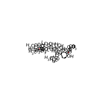 CCN[C@H]1CO[C@@H](O[C@H]2[C@H](O[C@H]3C#C/C=C/C#C[C@]4(O)CC(=O)C(NC(=O)OC)=C3/C4=C\CSSc3ccccc3)O[C@H](C)[C@@H](NO[C@H]3C[C@H](O)[C@H](SC(=O)c4c(C)c(I)c(O[C@@H]5O[C@@H](C)[C@H](O)[C@@H](OC)[C@H]5O)c(OC)c4OC)[C@@H](C)O3)[C@@H]2O)C[C@@H]1OC